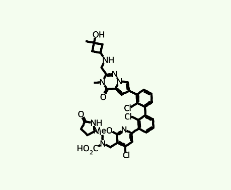 COc1nc(-c2cccc(-c3cccc(-c4cc5c(=O)n(C)c(CNC6CC(C)(O)C6)nn5c4)c3Cl)c2Cl)cc(Cl)c1CN(C[C@@H]1CCC(=O)N1)C(=O)O